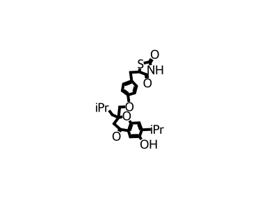 CC(C)CC1(COc2ccc(CC3SC(=O)NC3=O)cc2)CC(=O)c2cc(O)c(C(C)C)cc2O1